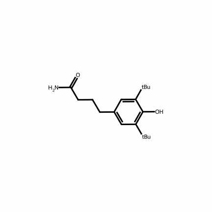 CC(C)(C)c1cc(CCCC(N)=O)cc(C(C)(C)C)c1O